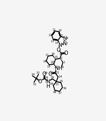 CC[C@H](C(=O)On1nnc2ccccc21)[C@@H]1CCCC[C@@H]1NC(=O)CC1(CNC(=O)OC(C)(C)C)CCCCC1